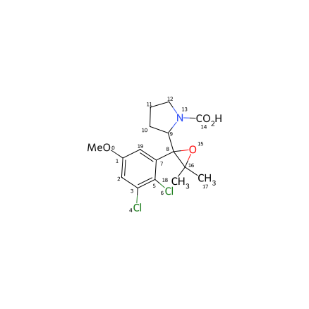 COc1cc(Cl)c(Cl)c(C2(C3CCCN3C(=O)O)OC2(C)C)c1